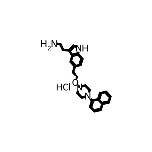 Cl.NCCc1c[nH]c2ccc(CCON3CCN(c4cccc5ccccc45)CC3)cc12